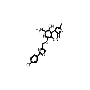 Cc1cc(-c2c(C#N)c(N)nc(SCc3coc(-c4ccc(Cl)cc4)n3)c2C#N)[nH]n1